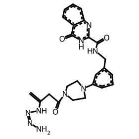 C=C(CC(=O)N1CCN(c2cccc(CNC(=O)c3nc4ccccc4c(=O)[nH]3)c2)CC1)N/N=N\N